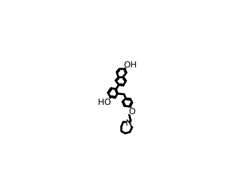 Oc1ccc(-c2ccc3cc(O)ccc3c2)c(Cc2ccc(OCCN3CCCCCC3)cc2)c1